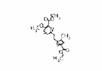 CCOC(=O)c1cc(C)c(CCC2=NC(C(=O)OC)=C(OC)SC2)s1